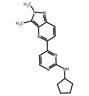 Cc1c2nc(-c3ccnc(NC4CCCC4)n3)ccc2nn1C